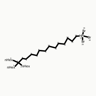 CCCCCCC(CCCCCC)(CCCCCC)CCCCCCCCCCCCC[PH](Br)(Br)Br